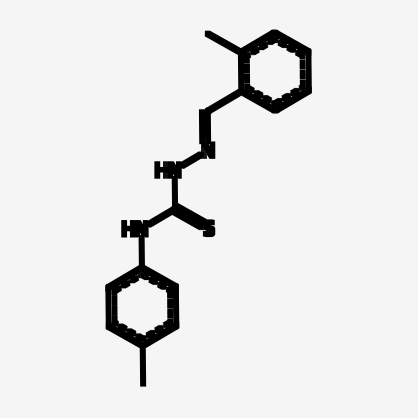 Cc1ccc(NC(=S)N/N=C/c2ccccc2C)cc1